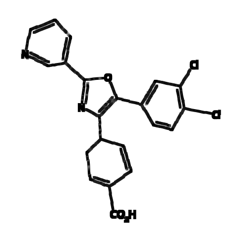 O=C(O)C1=CCC(c2nc(-c3cccnc3)oc2-c2ccc(Cl)c(Cl)c2)C=C1